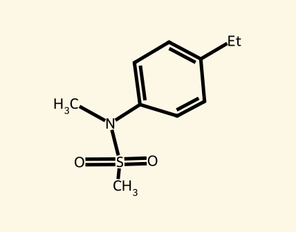 CCc1ccc(N(C)S(C)(=O)=O)cc1